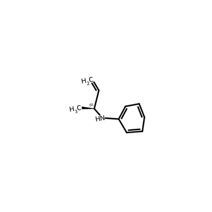 C=C[C@H](C)Nc1ccccc1